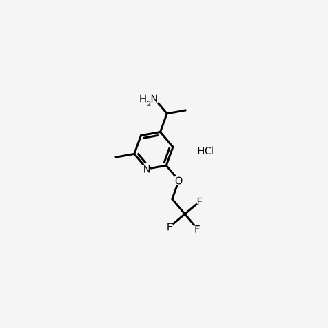 Cc1cc(C(C)N)cc(OCC(F)(F)F)n1.Cl